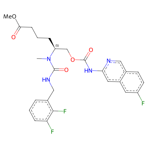 COC(=O)CCC[C@@H](COC(=O)Nc1cc2cc(F)ccc2cn1)N(C)C(=O)NCc1cccc(F)c1F